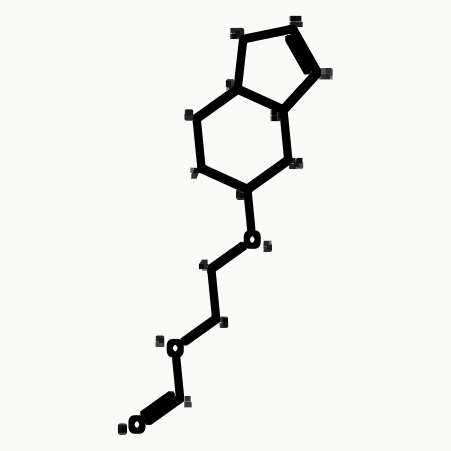 O=COCCOC1CCC2CC=CC2C1